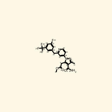 COC(=O)Cc1c(C(N)=O)c(C)nn1-c1ccnc(Cc2cc(F)cc(C(F)(F)F)c2)c1